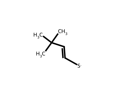 CC(C)(C)/C=C/[S]